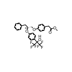 COC(=O)Cc1ccc(OC[C@@H](Cc2ccccc2)Oc2ccc(C(O)(C(F)(F)F)C(F)(F)F)cc2)cc1